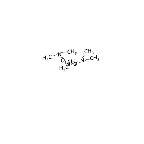 CCCCN(CCCC)CCOCC[N+](C)(C)CCOCCN(CCCC)CCCC